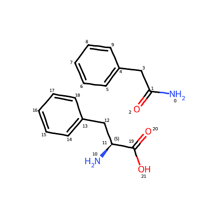 NC(=O)Cc1ccccc1.N[C@@H](Cc1ccccc1)C(=O)O